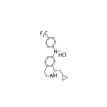 CN(c1ccc(C(F)(F)F)cc1)c1ccc2c(c1)C(CC1CC1)NCC2.Cl